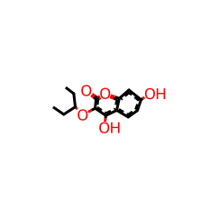 CCC(CC)Oc1c(O)c2ccc(O)cc2oc1=O